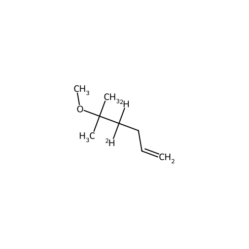 [2H]C([2H])(CC=C)C(C)(C)OC